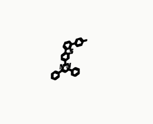 Cc1ccc(-c2cccc3c2sc2cc(-c4nc(-c5ccccc5)cc(-c5ccccc5)n4)ccc23)cc1